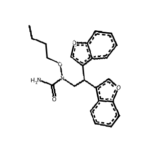 CCCCON(CC(c1coc2ccccc12)c1coc2ccccc12)C(N)=O